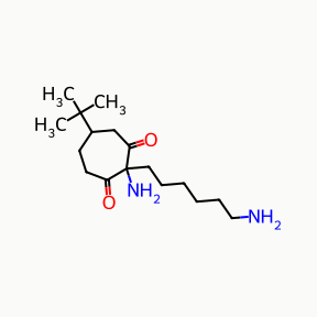 CC(C)(C)C1CCC(=O)C(N)(CCCCCCN)C(=O)C1